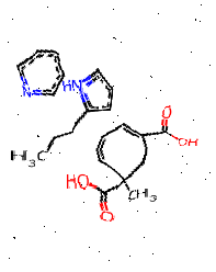 CC1(C(=O)O)C=CC=C(C(=O)O)C1.CCCc1ccc[nH]1.c1ccncc1